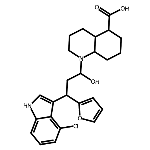 O=C(O)C1CCCC2C1CCCN2C(O)CC(c1ccco1)c1c[nH]c2cccc(Cl)c12